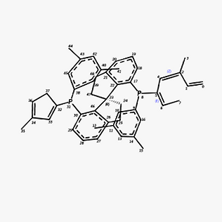 C=C/C(C)=C\C(=C/C)P(c1cc(C)cc(C)c1)c1cccc2c1[C@]1(CCc3cccc(P(C4=CC(C)=CC4)c4cc(C)cc(C)c4)c31)CC2